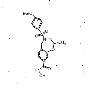 COc1ccc(S(=O)(=O)N2Cc3ccc(C(=O)NO)cc3OC(C)C2)cc1